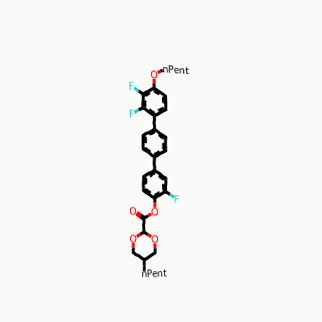 CCCCCOc1ccc(-c2ccc(-c3ccc(OC(=O)C4OCC(CCCCC)CO4)c(F)c3)cc2)c(F)c1F